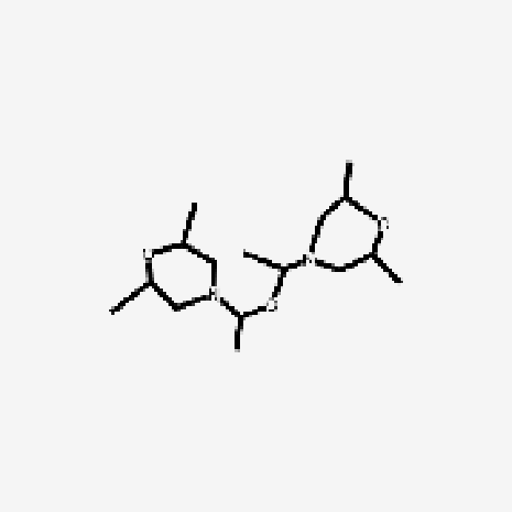 CC1CN(C(C)OC(C)N2CC(C)OC(C)C2)CC(C)O1